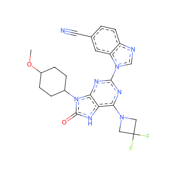 COC1CCC(n2c(=O)[nH]c3c(N4CC(F)(F)C4)nc(-n4cnc5ccc(C#N)cc54)nc32)CC1